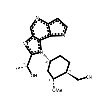 CO[C@@H]1C[C@H](n2c([C@@H](C)O)nc3cnc4ccsc4c32)CC[C@H]1CC#N